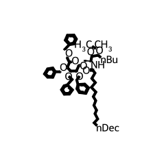 CCCCCCCCCCCCCCCCCCCCCCC(=O)N[C@@H](COC1OC(COCc2ccccc2)C(OCc2ccccc2)C(OCc2ccccc2)C1OCc1ccccc1)[C@@H]1OC(C)(C)OC1CCCC